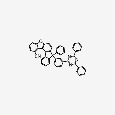 N#Cc1cccc2oc3ccc4c(c3c12)-c1ccccc1C4(c1ccccc1)c1cccc(-c2nc(-c3ccccc3)nc(-c3ccccc3)n2)c1